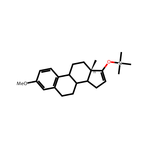 COc1ccc2c(c1)CCC1C2CC[C@]2(C)C(O[Si](C)(C)C)=CCC12